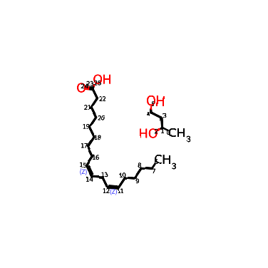 CC(O)CCO.CCCCC/C=C\C/C=C\CCCCCCCC(=O)O